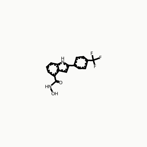 O=C(NO)c1cccc2[nH]c(-c3ccc(C(F)(F)F)cc3)cc12